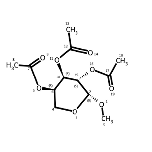 CO[C@@H]1OC[C@@H](OC(C)=O)[C@@H](OC(C)=O)[C@@H]1OC(C)=O